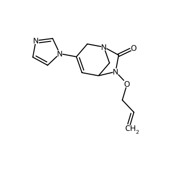 C=CCON1C(=O)N2CC(n3ccnc3)=CC1C2